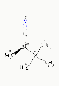 C[C@@H](C#N)C(C)(C)C